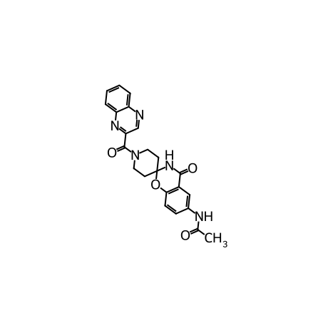 CC(=O)Nc1ccc2c(c1)C(=O)NC1(CCN(C(=O)c3cnc4ccccc4n3)CC1)O2